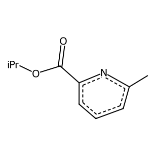 Cc1cccc(C(=O)OC(C)C)n1